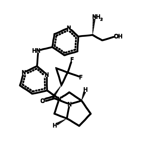 N[C@H](CO)c1ccc(Nc2nccc(N3C[C@H]4CC[C@@H](C3)N4C(=O)[C@@H]3CC3(F)F)n2)cn1